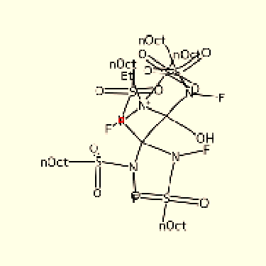 CCCCCCCCS(=O)(=O)N(F)C(N(F)S(=O)(=O)CCCCCCCC)(N(F)S(=O)(=O)CCCCCCCC)C(O)(N(F)S(=O)(=O)CCCCCCCC)[N+](F)(CC)S(=O)(=O)CCCCCCCC